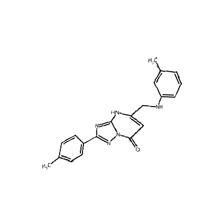 Cc1ccc(-c2nc3[nH]c(CNc4cccc(C)c4)cc(=O)n3n2)cc1